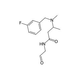 CC(CC(=O)NCC=O)N(C)Cc1cccc(F)c1